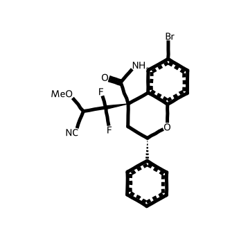 COC(C#N)C(F)(F)[C@]1(C(N)=O)C[C@@H](c2ccccc2)Oc2ccc(Br)cc21